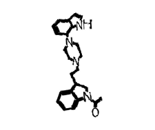 CC(=O)N1CC(CCN2CCN(c3cccc4cc[nH]c34)CC2)c2ccccc21